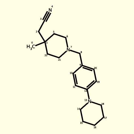 CC1(CC#N)CCN(Cc2ccc(N3CCCCC3)cc2)CC1